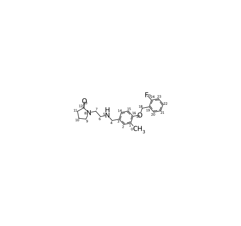 Cc1cc(CNCCN2CCCC2=O)ccc1OCc1ccccc1F